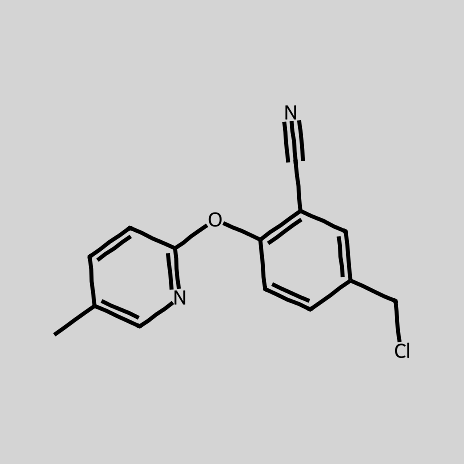 Cc1ccc(Oc2ccc(CCl)cc2C#N)nc1